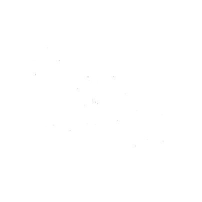 CCOC(=O)CN(c1ccc(Cl)cc1C(O)c1ccccc1C)S(=O)(=O)c1ccc(OC)c(OC)c1